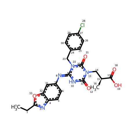 CCc1nc2ccc(/N=c3\[nH]c(=O)n(C[C@H](C)C(=O)O)c(=O)n3Cc3ccc(Cl)cc3)cc2o1